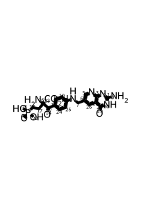 Nc1nc2ncc(CNc3ccc(C(=O)C(N)(CCP(=O)(O)O)C(=O)O)cc3)cc2c(=O)[nH]1